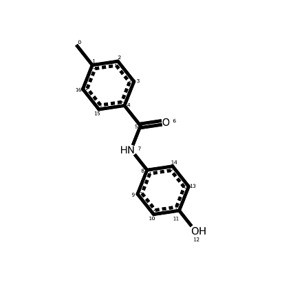 Cc1ccc(C(=O)Nc2ccc(O)cc2)cc1